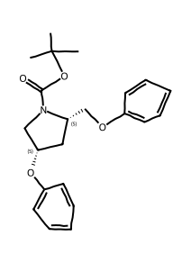 CC(C)(C)OC(=O)N1C[C@@H](Oc2ccccc2)C[C@H]1COc1ccccc1